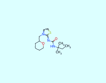 CCC(C)(C)NC(=O)/N=c1\sccn1CC1CCCCO1